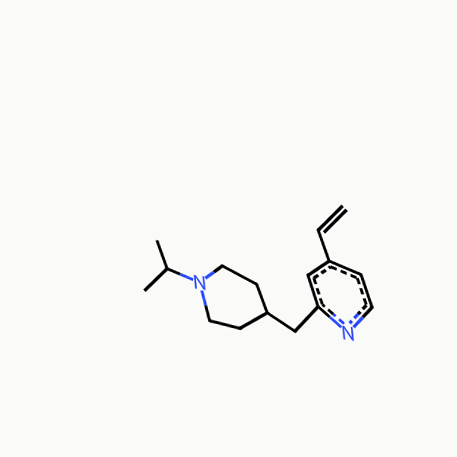 C=Cc1ccnc(CC2CCN(C(C)C)CC2)c1